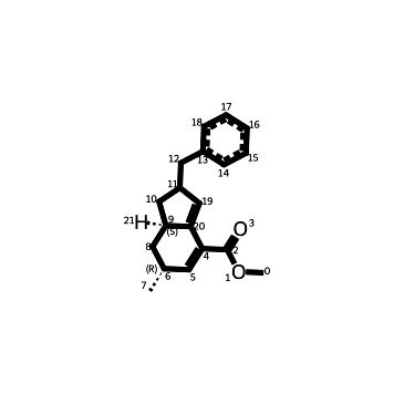 COC(=O)C1=C[C@H](C)C[C@H]2CC(Cc3ccccc3)C=C12